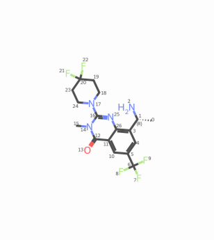 C[C@@H](N)c1cc(C(F)(F)F)cc2c(=O)n(C)c(N3CCC(F)(F)CC3)nc12